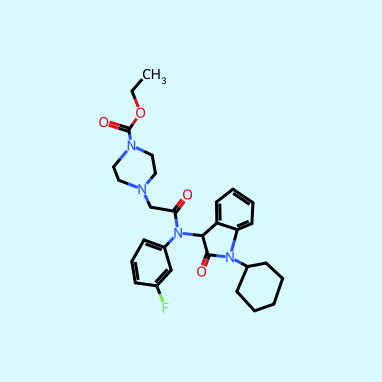 CCOC(=O)N1CCN(CC(=O)N(c2cccc(F)c2)C2C(=O)N(C3CCCCC3)c3ccccc32)CC1